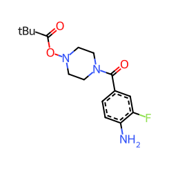 CC(C)(C)C(=O)ON1CCN(C(=O)c2ccc(N)c(F)c2)CC1